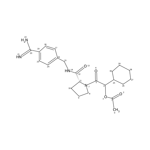 CC(=O)OC(C(=O)N1CCC[C@@H]1C(=O)NCc1ccc(C(=N)N)cc1)C1CCCCC1